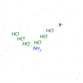 Cl.Cl.Cl.Cl.Cl.Cl.N.[Ir]